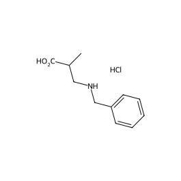 CC(CNCc1ccccc1)C(=O)O.Cl